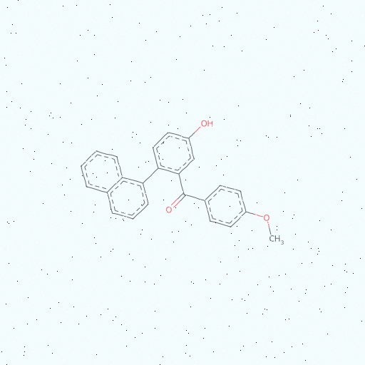 COc1ccc(C(=O)c2cc(O)ccc2-c2cccc3ccccc23)cc1